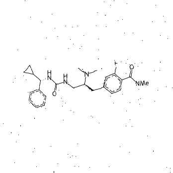 CNC(=O)c1ccc(C[C@@H](CNC(=O)N[C@H](c2ccccc2)C2CC2)N(C)C)cc1F